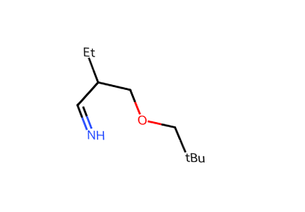 CCC(C=N)COCC(C)(C)C